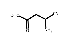 N#CC(N)CC(=O)C=O